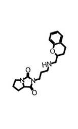 O=C1C2CCCN2C(=O)N1CCCNCC1CCc2ccccc2O1